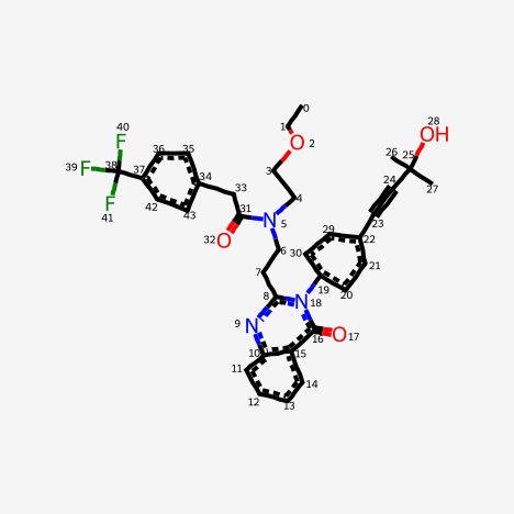 CCOCCN(CCc1nc2ccccc2c(=O)n1-c1ccc(C#CC(C)(C)O)cc1)C(=O)Cc1ccc(C(F)(F)F)cc1